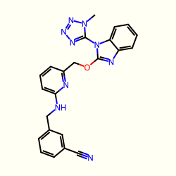 Cn1nnnc1-n1c(OCc2cccc(NCc3cccc(C#N)c3)n2)nc2ccccc21